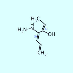 C=C/C=C(NN)\C(O)=C/C